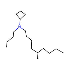 CCCC[C@@H](C)CCCCN(CCCC)C1CCC1